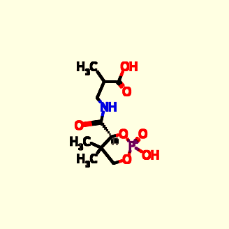 CC(CNC(=O)[C@@H]1OP(=O)(O)OCC1(C)C)C(=O)O